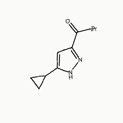 CC(C)C(=O)c1cc(C2CC2)[nH]n1